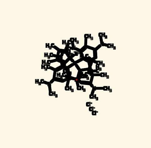 CC1=C(C)[C]([Ti+3])([Si](c2c(N(C)C)cc(N(C)C)c(C)c2N(C)C)(c2c(N(C)C)cc(N(C)C)c(C)c2N(C)C)c2c(N(C)C)cc(N(C)C)c(C)c2N(C)C)C(C)=C1C.[Cl-].[Cl-].[Cl-]